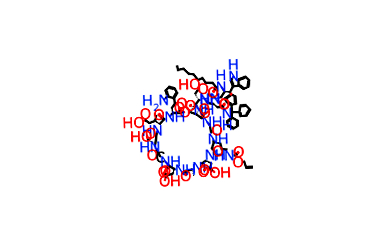 C=CCOC(=O)NCCC[C@@H]1NC(=O)CNC(=O)[C@@H](NC(=O)[C@H](CC(=O)O)NC(=O)[C@H](CC(=O)NC(c2ccccc2)(c2ccccc2)c2ccccc2)NC(=O)[C@H](Cc2c[nH]c3ccccc23)NC(=O)CCCCCCCCC)[C@@H](C)OC(=O)[C@H](CC(=O)c2ccccc2N)NC(=O)[C@H](C(C)CC(=O)O)NC(=O)[C@@H](CO)NC(=O)CNC(=O)[C@H](CC(=O)O)NC(=O)[C@@H](C)NC(=O)[C@H](CC(=O)O)NC1=O